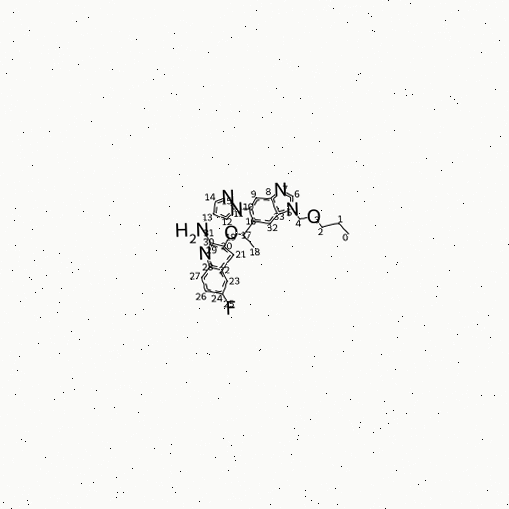 CCCOCn1cnc2cc(-n3cccn3)c(C(C)Oc3cc4cc(F)ccc4nc3N)cc21